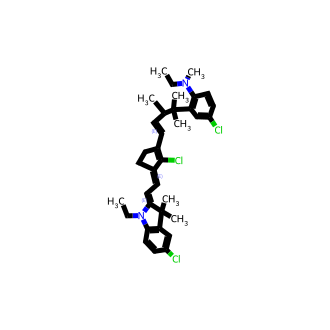 CCN(C)c1ccc(Cl)cc1C(C)(C)C(C)/C=C/C1=C(Cl)C(=C/C=C2/N(CC)c3ccc(Cl)cc3C2(C)C)/CC1